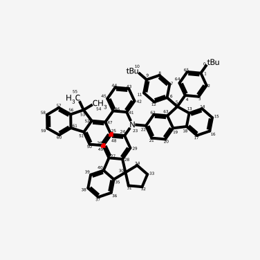 CC(C)(C)c1ccc(C2(c3ccc(C(C)(C)C)cc3)c3ccccc3-c3ccc(N(c4ccc5c(c4)C4(CCCC4)c4ccccc4-5)c4ccccc4-c4cccc5c4C(C)(C)c4ccccc4-5)cc32)cc1